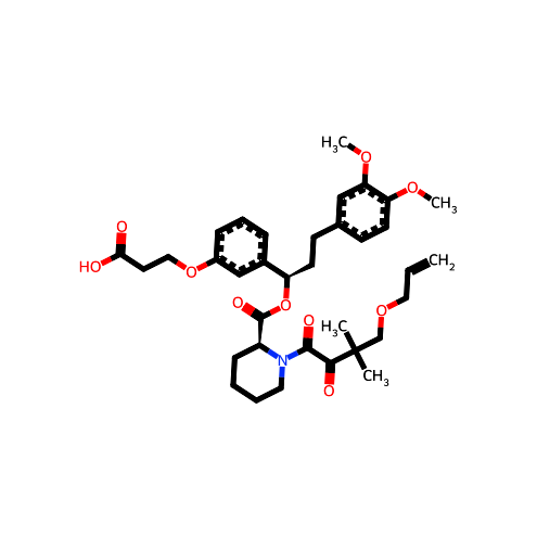 C=CCOCC(C)(C)C(=O)C(=O)N1CCCC[C@H]1C(=O)O[C@H](CCc1ccc(OC)c(OC)c1)c1cccc(OCCC(=O)O)c1